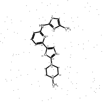 Cc1csc(Nc2cccc(-c3cnc(N4CCN(C)CC4)o3)n2)n1